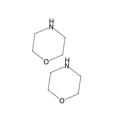 C1COCCN1.C1COCCN1